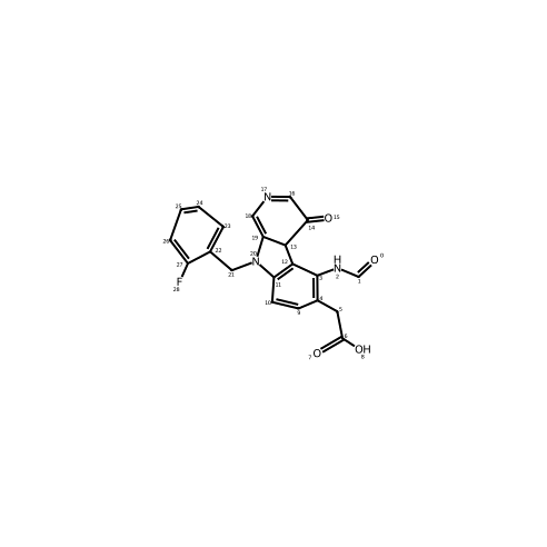 O=CNc1c(CC(=O)O)ccc2c1C1C(=O)C=NC=C1N2Cc1ccccc1F